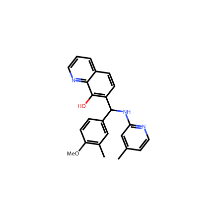 COc1ccc(C(Nc2cc(C)ccn2)c2ccc3cccnc3c2O)cc1C